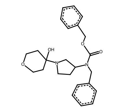 O=C(OCc1ccccc1)N(Cc1ccccc1)C1CCN(C2(O)CCOCC2)C1